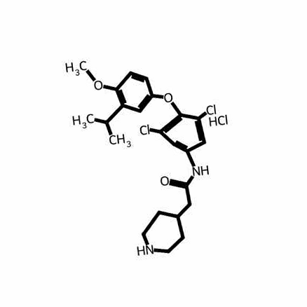 COc1ccc(Oc2c(Cl)cc(NC(=O)CC3CCNCC3)cc2Cl)cc1C(C)C.Cl